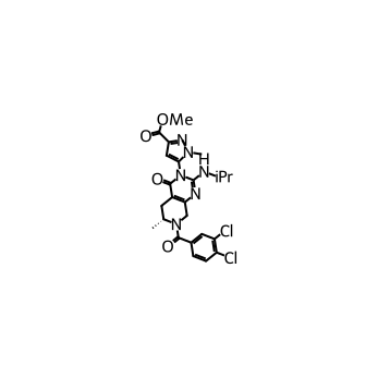 COC(=O)c1cc(-n2c(NC(C)C)nc3c(c2=O)C[C@@H](C)N(C(=O)c2ccc(Cl)c(Cl)c2)C3)n(C)n1